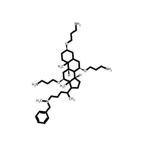 CC(CCCN(C)Cc1ccccc1)C1CC[C@H]2C3[C@H](OCCCN)CC4C[C@H](OCCCN)CCC4(C)[C@H]3C[C@H](OCCCN)C12C